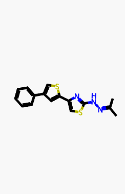 CC(C)=NNc1nc(-c2cc(-c3ccccc3)cs2)cs1